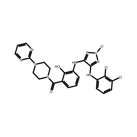 O=C(c1cccc(Nc2n[s+]([O-])nc2Nc2cccc(Cl)c2Cl)c1O)N1CCN(c2ncccn2)CC1